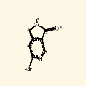 CN1Cc2cc(Br)ncc2C1=O